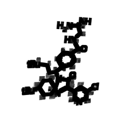 CC(C)(C)CCC(c1ccc(C(=O)NCC(=N)N)cc1)N1C(=O)C(c2cncc(Cl)c2)=NC12CCC(C(C)(C)C)CC2